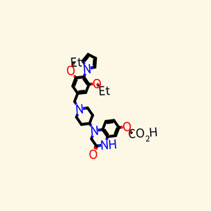 CCOc1cc(CN2CCC(N3CC(=O)Nc4cc(OC(=O)O)ccc43)CC2)cc(OCC)c1-n1cccc1